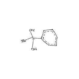 CC(C)(C)[Si](O)(O)c1ccccc1